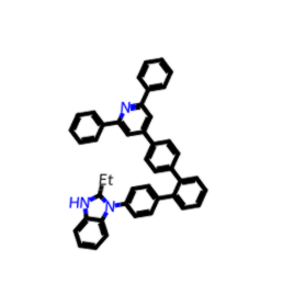 CCC1Nc2ccccc2N1c1ccc(-c2ccccc2-c2ccc(-c3cc(-c4ccccc4)nc(-c4ccccc4)c3)cc2)cc1